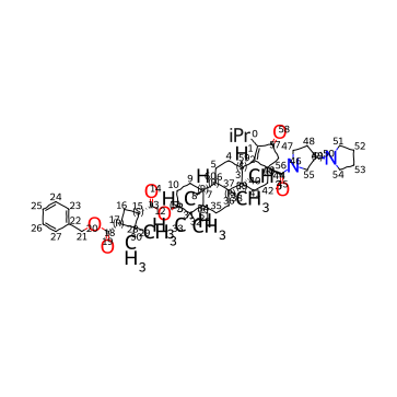 CC(C)C1=C2[C@H]3CC[C@@H]4[C@@]5(C)CC[C@H](OC(=O)[C@H]6C[C@@H](C(=O)OCc7ccccc7)C6(C)C)C(C)(C)[C@@H]5CC[C@@]4(C)[C@]3(C)CC[C@@]2(C(=O)N2CC[C@@H](N3CCCC3)C2)CC1=O